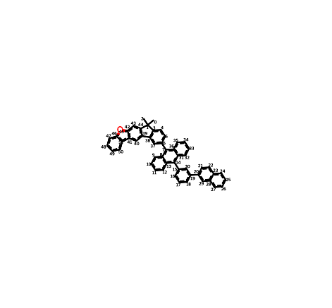 CC1(C)c2ccc(-c3c4ccccc4c(-c4cccc(-c5ccc6ccccc6c5)c4)c4ccccc34)cc2-c2cc3c(cc21)oc1ccccc13